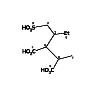 CCC(CS(=O)(=O)O)C(C(=O)O)C(C)C(=O)O